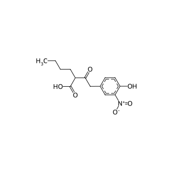 CCCCC(C(=O)O)C(=O)Cc1ccc(O)c([N+](=O)[O-])c1